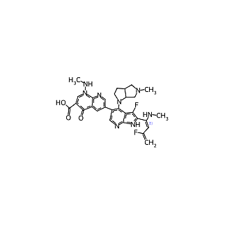 C=C(F)/C=C(/NC)c1[nH]c2ncc(-c3cnc4c(c3)c(=O)c(C(=O)O)cn4NC)c(N3CCC4CN(C)CC43)c2c1F